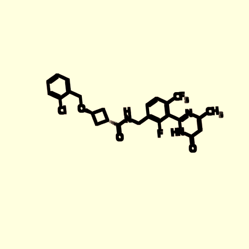 Cc1cc(=O)[nH]c(-c2c(C(F)(F)F)ccc(CNC(=O)[C@H]3C[C@H](OCc4ccccc4Cl)C3)c2F)n1